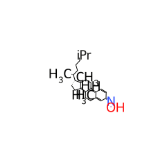 CC(C)CCC[C@@H](C)[C@H]1CC[C@H]2[C@@H]3CCC4=C/C(=N\O)C=C[C@]4(C)[C@H]3CC[C@]12C